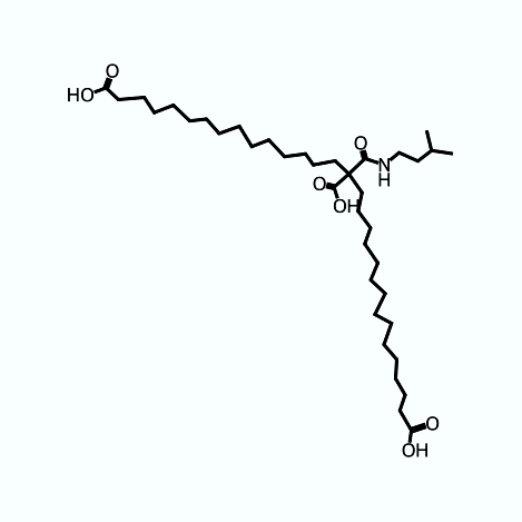 CC(C)CCNC(=O)C(CCCCCCCCCCCCCCC(=O)O)(CCCCCCCCCCCCCCC(=O)O)C(=O)O